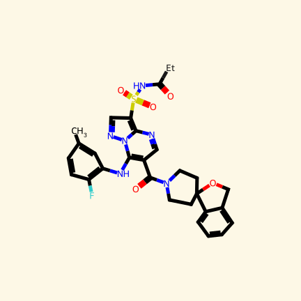 CCC(=O)NS(=O)(=O)c1cnn2c(Nc3cc(C)ccc3F)c(C(=O)N3CCC4(CC3)OCc3ccccc34)cnc12